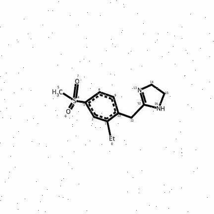 CCc1cc(S(C)(=O)=O)ccc1CC1=NCCN1